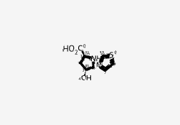 O=C(O)[C@@H]1C[C@@H](O)CN1.c1cscn1